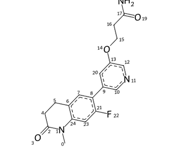 CN1C(=O)CCc2cc(-c3cncc(OCCC(N)=O)c3)c(F)cc21